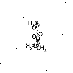 BOC(=O)CCC(=O)C(=O)OCC=C(C)C